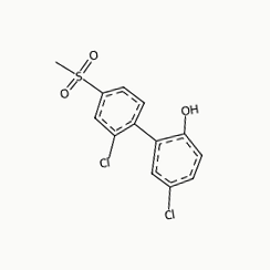 CS(=O)(=O)c1ccc(-c2cc(Cl)ccc2O)c(Cl)c1